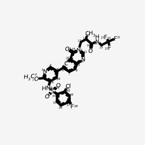 COc1ncc(-c2ccc3ncn(CC(C)C(=O)NCC(F)(F)F)c(=O)c3c2)cc1NS(=O)(=O)c1ccc(F)cc1Cl